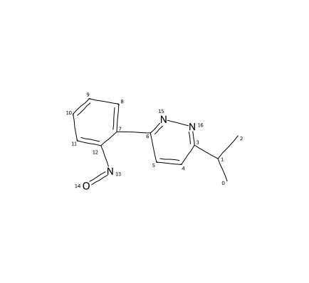 CC(C)c1ccc(-c2ccccc2N=O)nn1